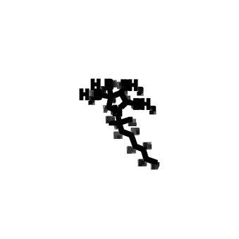 BC1C(B)C(B)(B)CN1C(C)(C)CCCCCC